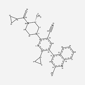 C[C@@H]1CN(c2nc(C3CC3)c(-c3cc(Cl)nc4ccccc34)cc2C#N)CCN1C(=O)C1CC1